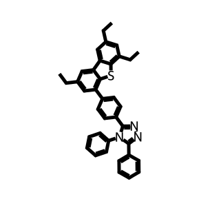 CCc1cc(CC)c2sc3c(-c4ccc(-c5nnc(-c6ccccc6)n5-c5ccccc5)cc4)cc(CC)cc3c2c1